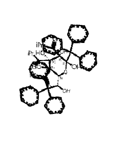 CC(C)C(=O)[C@@]1(O)[C@](O)(C(=O)C(C)C)[C@](O)(C(c2ccccc2)(c2ccccc2)c2ccccc2)O[C@H](C(O)C(c2ccccc2)(c2ccccc2)c2ccccc2)[C@]1(O)C(=O)C(C)C